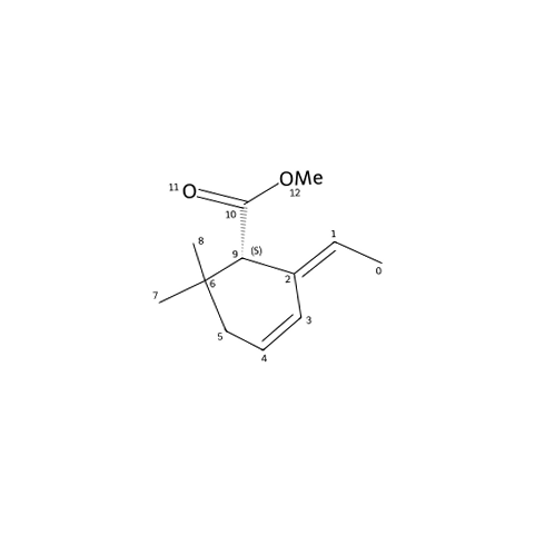 CC=C1C=CCC(C)(C)[C@@H]1C(=O)OC